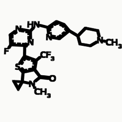 CN1CCC(c2ccc(Nc3ncc(F)c(-c4sc5c(c4C(F)(F)F)C(=O)N(C)C54CC4)n3)nc2)CC1